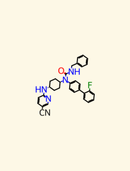 N#Cc1ccc(N[C@H]2CC[C@H](N(C(=O)NCc3ccccc3)c3ccc(-c4ccccc4F)cc3)CC2)nc1